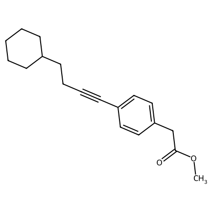 COC(=O)Cc1ccc(C#CCCC2CCCCC2)cc1